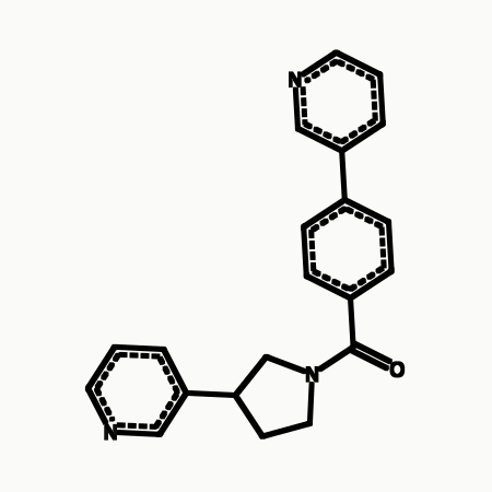 O=C(c1ccc(-c2cccnc2)cc1)N1CCC(c2cccnc2)C1